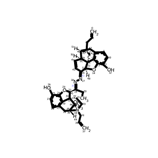 C=CCN1CC[C@]23c4c5ccc(O)c4O[C@H]2/C(=N/N=C(\CC)[C@@H]2Oc4c(O)ccc6c4[C@@]24CCN(CC=C)[C@H](C6)[C@@]4(C)O)C=C[C@H]3[C@H]1C5